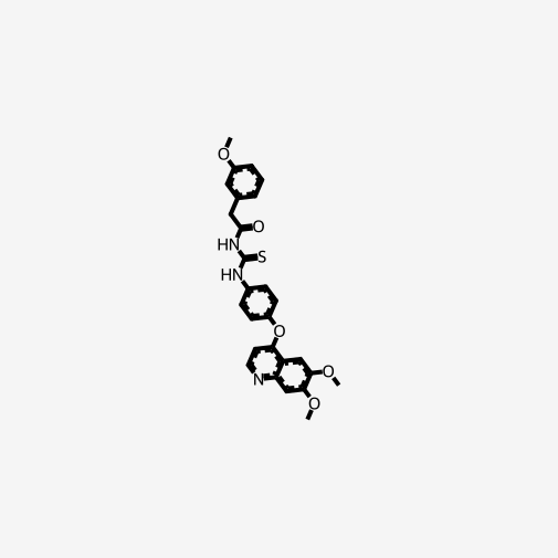 COc1cccc(CC(=O)NC(=S)Nc2ccc(Oc3ccnc4cc(OC)c(OC)cc34)cc2)c1